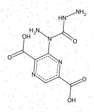 NNC(=O)N(N)c1nc(C(=O)O)cnc1C(=O)O